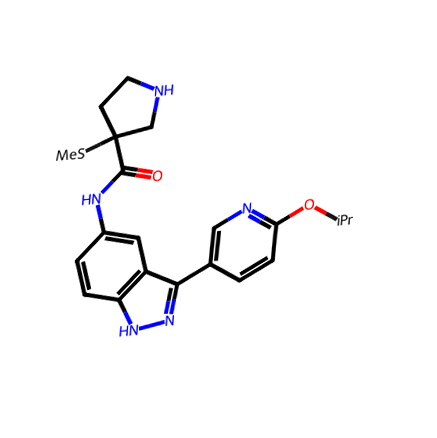 CSC1(C(=O)Nc2ccc3[nH]nc(-c4ccc(OC(C)C)nc4)c3c2)CCNC1